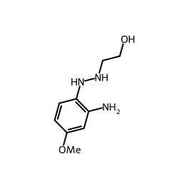 COc1ccc(NNCCO)c(N)c1